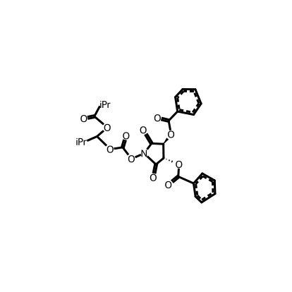 CC(C)C(=O)OC(OC(=O)ON1C(=O)[C@@H](OC(=O)c2ccccc2)[C@H](OC(=O)c2ccccc2)C1=O)C(C)C